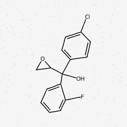 OC(c1ccc(Cl)cc1)(c1ccccc1F)C1CO1